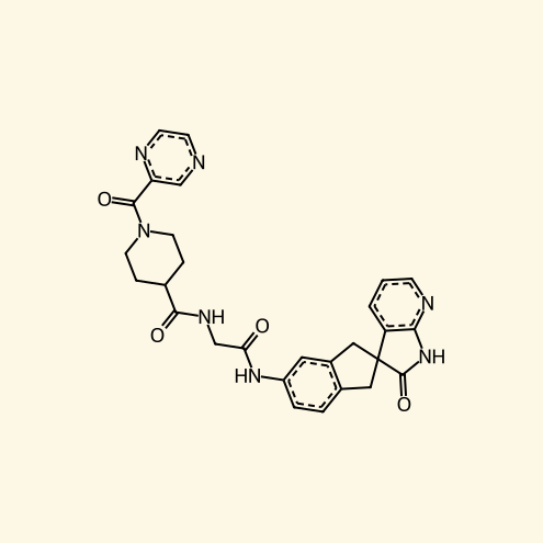 O=C(CNC(=O)C1CCN(C(=O)c2cnccn2)CC1)Nc1ccc2c(c1)CC1(C2)C(=O)Nc2ncccc21